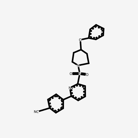 N#Cc1ccc(-c2cccc(S(=O)(=O)N3CCC(Oc4ccccc4)CC3)n2)cc1